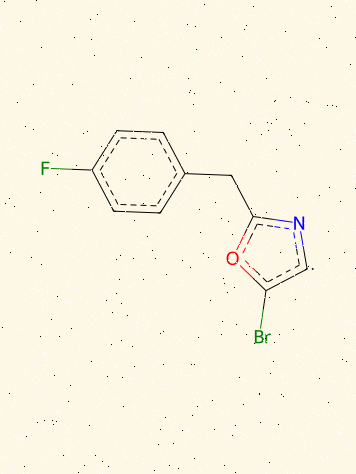 Fc1ccc(Cc2n[c]c(Br)o2)cc1